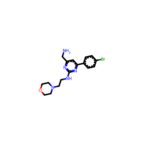 NCc1cc(-c2ccc(Br)cc2)nc(NCCN2CCOCC2)n1